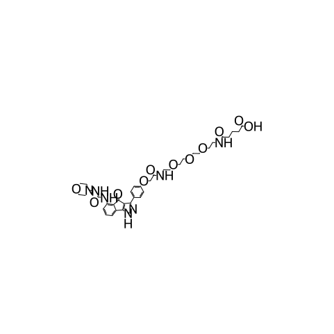 O=C(O)CCCC(=O)NCCOCCOCCOCCNC(=O)COc1ccc(-c2n[nH]c3c2C(=O)c2c(NC(=O)NN4CCOCC4)cccc2-3)cc1